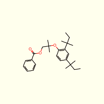 CCC(C)(C)c1ccc(OC(C)(C)COC(=O)c2ccccc2)c(C(C)(C)CC)c1